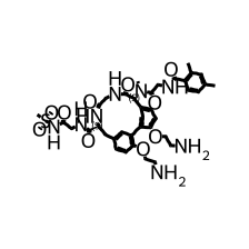 Cc1ccc(C(=O)NCC(=O)N(C)[C@@H]2C(=O)NCC(=O)N[C@H](C(=O)NCC(=O)NS(C)(=O)=O)Cc3ccc(OCCN)c(c3)-c3cc2ccc3OCCN)c(C)c1